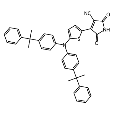 CC(C)(c1ccccc1)c1ccc(N(c2ccc(C(C)(C)c3ccccc3)cc2)c2ccc(C3=C(C#N)C(=O)NC3=O)s2)cc1